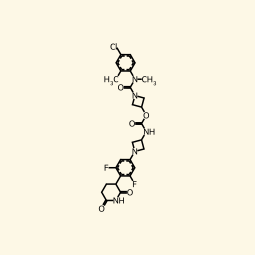 Cc1cc(Cl)ccc1N(C)C(=O)N1CC(OC(=O)NC2CN(c3cc(F)c(C4CCC(=O)NC4=O)c(F)c3)C2)C1